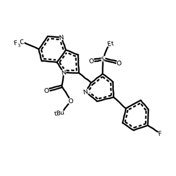 CCS(=O)(=O)c1cc(-c2ccc(F)cc2)cnc1-c1cc2ncc(C(F)(F)F)cc2n1C(=O)OC(C)(C)C